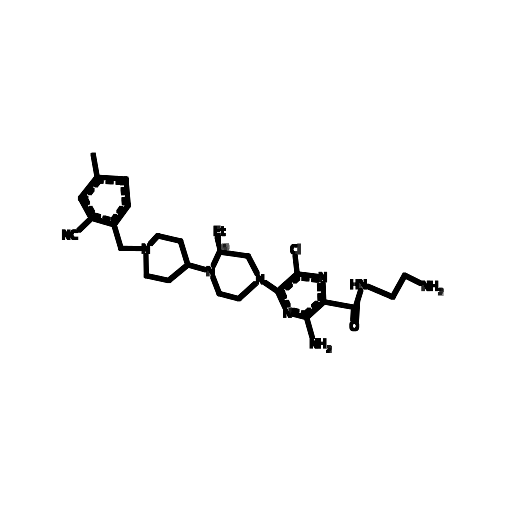 CC[C@H]1CN(c2nc(N)c(C(=O)NCCN)nc2Cl)CCN1C1CCN(Cc2ccc(C)cc2C#N)CC1